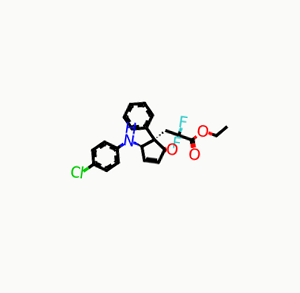 CCOC(=O)C(F)(F)C[C@]1(c2ccccc2)C(=O)C=C[C@H]1Nc1ccc(Cl)cc1